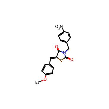 CCOc1ccc(/C=C2\SC(=O)N(Cc3ccc([N+](=O)[O-])cc3)C2=O)cc1